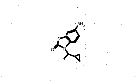 Bc1ccc2c(c1)sc(=O)n2C(C)C1CC1